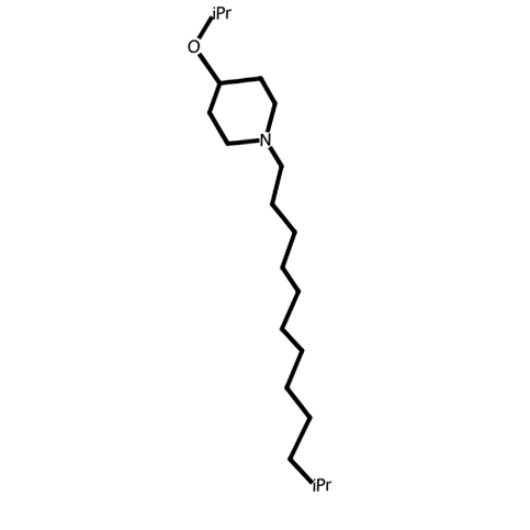 CC(C)CCCCCCCCCCN1CCC(OC(C)C)CC1